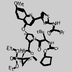 C=C[C@@H]1C[C@]1(NC(=O)C1C[C@@H](Oc2cc(-c3csc(NC(=O)C(C)C)n3)nc3cc(OC)ccc23)CN1C(=O)C(NC(=O)OC1CCCC1)C(C)(C)C)P(=O)(OCC)OCC